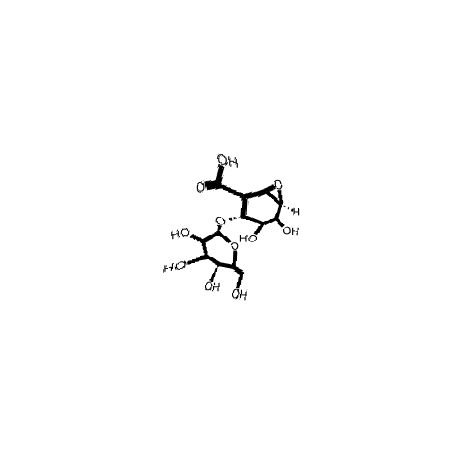 O=C(O)C1C2O[C@H]2C(O)C(O)[C@@H]1O[C@H]1OC(CO)[C@@H](O)C(O)C1O